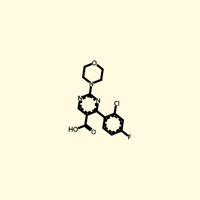 O=C(O)c1cnc(N2CCOCC2)nc1-c1ccc(F)cc1Cl